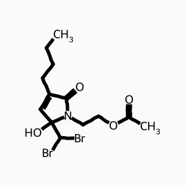 CCCCC1=CC(O)(C(Br)Br)N(CCOC(C)=O)C1=O